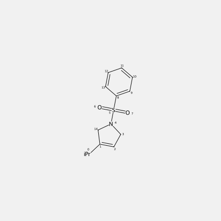 CC(C)C1=CCN(S(=O)(=O)c2ccccc2)C1